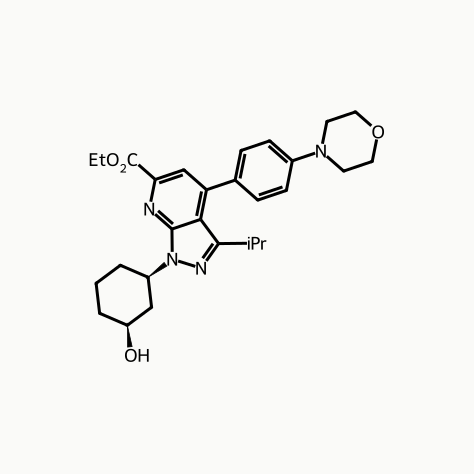 CCOC(=O)c1cc(-c2ccc(N3CCOCC3)cc2)c2c(C(C)C)nn([C@@H]3CCC[C@H](O)C3)c2n1